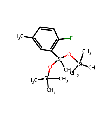 Cc1ccc(F)c([Si](C)(O[Si](C)(C)C)O[Si](C)(C)C)c1